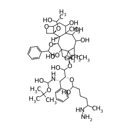 CC(CCCC(O)O[C@@H](C(O)O[C@H]1CC2(O)[C@@H](OC(O)c3ccccc3)[C@H]3C(C)(C(O)CC4OC[C@]43OC(C)O)C(O)C(O)C(C1C)C2(C)C)[C@@H](NC(O)OC(C)(C)C)c1ccccc1)NN